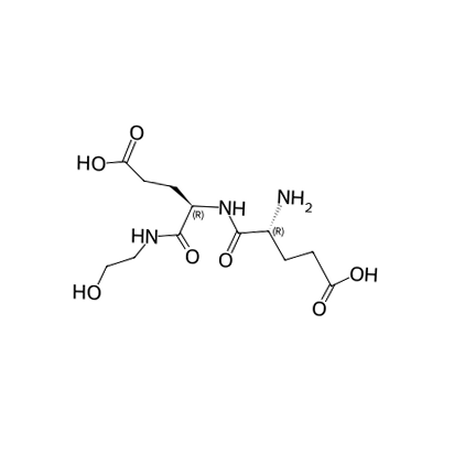 N[C@H](CCC(=O)O)C(=O)N[C@H](CCC(=O)O)C(=O)NCCO